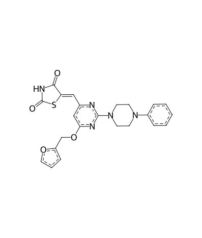 O=C1NC(=O)/C(=C/c2cc(OCc3ccco3)nc(N3CCN(c4ccccc4)CC3)n2)S1